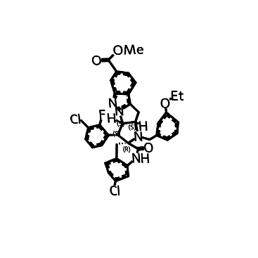 CCOc1cccc(CN2[C@H]3Cc4c5ccc(C(=O)OC)cc5nn4[C@H]3[C@H](c3cccc(Cl)c3F)[C@@]23Cc2ccc(Cl)cc2NC3=O)c1